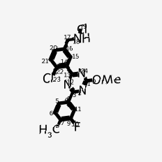 COc1nc(-c2ccc(C)c(F)c2)nc(-c2cc(CNCl)ccc2Cl)n1